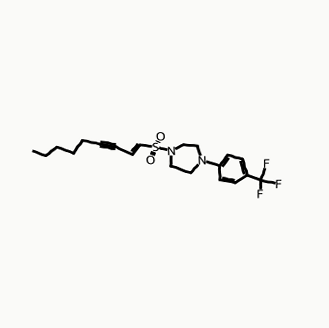 CCCCCC#C/C=C/S(=O)(=O)N1CCN(c2ccc(C(F)(F)F)cc2)CC1